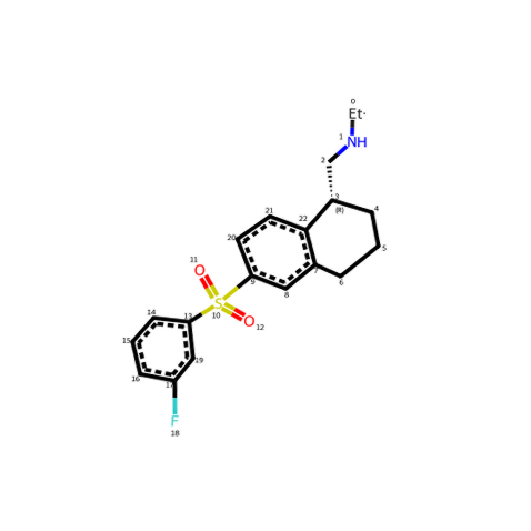 [CH2][CH]NC[C@@H]1CCCc2cc(S(=O)(=O)c3cccc(F)c3)ccc21